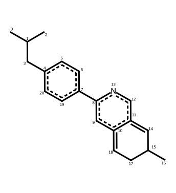 CC(C)Cc1ccc(-c2cc3c(cn2)=CC(C)CC=3)cc1